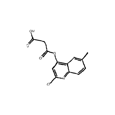 Cc1ccc2nc(Cl)cc(OC(=O)CC(=O)O)c2c1